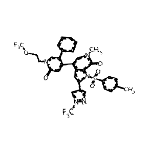 Cc1ccc(S(=O)(=O)n2c(-c3cnn(C(F)(F)F)c3)cc3c(-c4cc(=O)n(CCOC(F)(F)F)cc4-c4ccccc4)cn(C)c(=O)c32)cc1